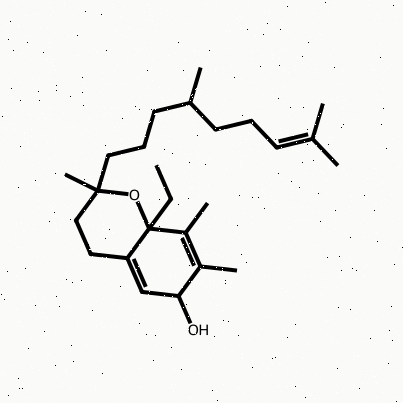 CCC12OC(C)(CCCC(C)CCC=C(C)C)CCC1=CC(O)C(C)=C2C